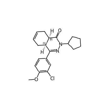 COc1ccc(C2=NN(C3CCCC3)C(=O)[C@@H]3CC=CC[C@H]23)cc1Cl